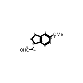 COc1ccc2c(c1)CC[C@H]2CC=O